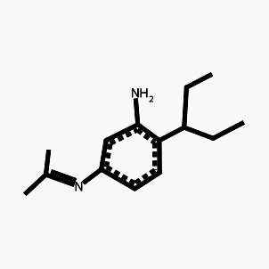 CCC(CC)c1ccc(N=C(C)C)cc1N